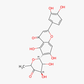 CC1O[C@H](c2c(O)cc3oc(-c4ccc(O)c(O)c4)cc(=O)c3c2O)C(O)[C@@H](O)C1=O